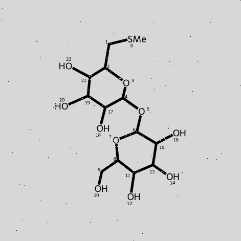 CSCC1OC(OC2OC(CO)C(O)C(O)C2O)C(O)C(O)C1O